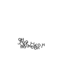 O=C(O)C1(O)CCC(OC(=O)C2(O)CCC(O)O2)O1